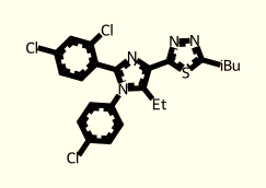 CCc1c(-c2nnc(C(C)CC)s2)nc(-c2ccc(Cl)cc2Cl)n1-c1ccc(Cl)cc1